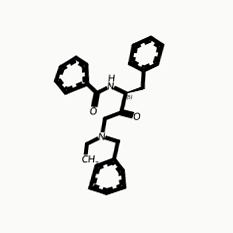 CCN(CC(=O)[C@H](Cc1ccccc1)NC(=O)c1ccccc1)Cc1ccccc1